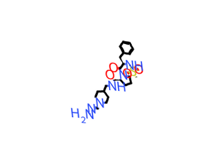 CS(=O)(=O)N[C@H](Cc1ccccc1)C(=O)N1CCC[C@H]1C(=O)NCC1CCN(C=NN)CC1